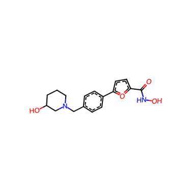 O=C(NO)c1ccc(-c2ccc(CN3CCCC(O)C3)cc2)o1